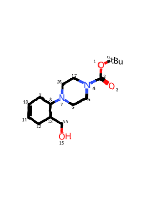 CC(C)(C)OC(=O)N1CCN(C2CC=CCC2CO)CC1